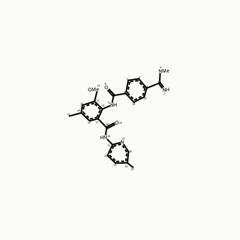 CNC(=N)c1ccc(C(=O)Nc2c(OC)cc(C)cc2C(=O)Nc2ccc(C)cn2)cc1